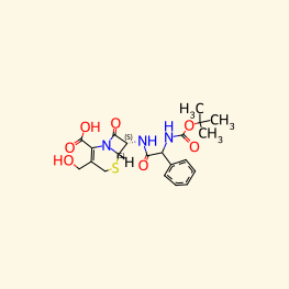 CC(C)(C)OC(=O)NC(C(=O)N[C@H]1C(=O)N2C(C(=O)O)=C(CO)CS[C@@H]12)c1ccccc1